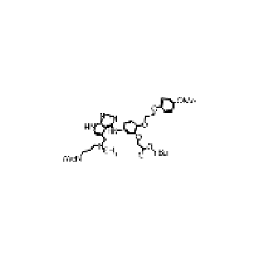 CCCCOC(=O)COc1cc(Nc2ncnc3[nH]cc(CN(C)CCCNC)c23)ccc1OCCOc1ccc(OC)cc1